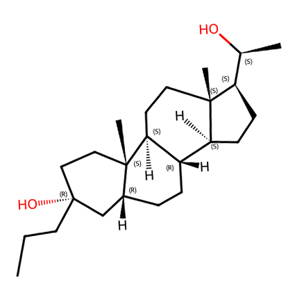 CCC[C@@]1(O)CC[C@@]2(C)[C@H](CC[C@@H]3[C@@H]2CC[C@]2(C)[C@@H]([C@H](C)O)CC[C@@H]32)C1